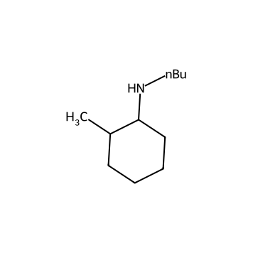 CCCCNC1CCCCC1C